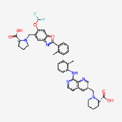 Cc1c(Nc2nccc3cc(CN4CCCC[C@H]4C(=O)O)cnc23)cccc1-c1cccc(-c2nc3cc(CN4CCC[C@H]4C(=O)O)c(OC(F)F)cc3o2)c1C